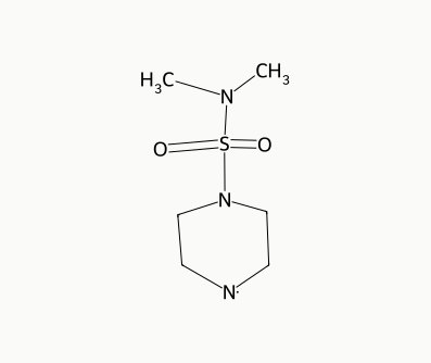 CN(C)S(=O)(=O)N1CC[N]CC1